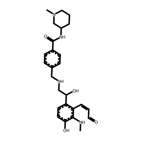 CNc1c(O)ccc(C(O)CNCc2ccc(C(=O)NC3CCCN(C)C3)cc2)c1/C=C\C=O